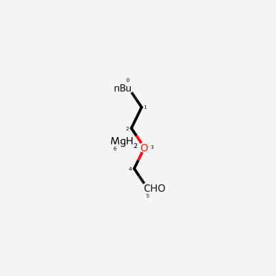 CCCCCCOCC=O.[MgH2]